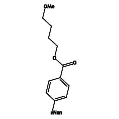 CCCCCCCCCc1ccc(C(=O)OCCCCOC)cc1